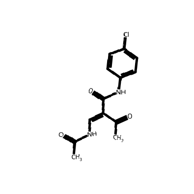 CC(=O)NC=C(C(C)=O)C(=O)Nc1ccc(Cl)cc1